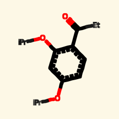 CCC(=O)c1ccc(OC(C)C)cc1OC(C)C